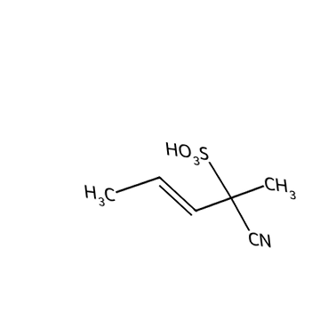 CC=CC(C)(C#N)S(=O)(=O)O